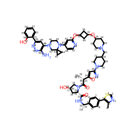 Cc1ncsc1-c1ccc([C@H](C)NC(=O)[C@@H]2C[C@@H](O)CN2C(=O)[C@@H](c2cc(N3CCC(CN4CCC(OC5CC(Oc6cc(N7CCN(c8cc(-c9ccccc9O)nnc8N)CC78CC8)ccn6)C5)CC4)CC3)no2)C(C)C)cc1